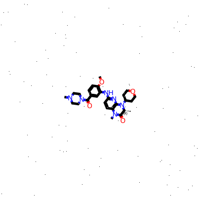 COc1ccc(C(=O)N2CCN(C)CC2)cc1Nc1ccc2c(n1)N(C1CCOCC1)[C@H](C)C(=O)N2C